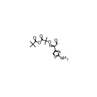 CC(C)(C)C(=O)OC(=O)C(C)(C)ON=C([C]=O)c1csc(N)n1